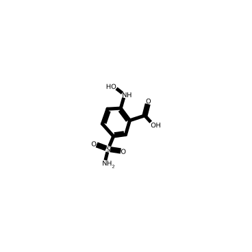 NS(=O)(=O)c1ccc(NO)c(C(=O)O)c1